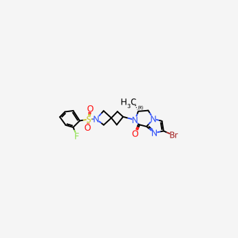 C[C@@H]1Cn2cc(Br)nc2C(=O)N1C1CC2(C1)CN(S(=O)(=O)c1ccccc1F)C2